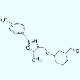 Cc1ccc(-c2nc(COC3CCCC(C=O)C3)c(C)o2)cc1